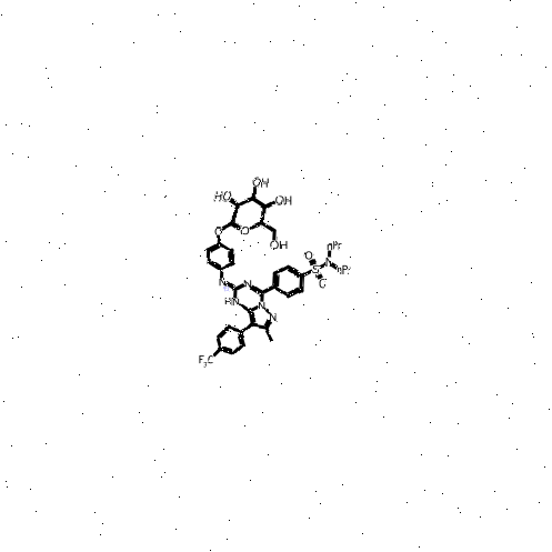 CCCN(CCC)S(=O)(=O)c1ccc(-c2n/c(=N\c3ccc(OC4OC(CO)C(O)C(O)C4O)cc3)[nH]c3c(-c4ccc(C(F)(F)F)cc4)c(C)nn23)cc1